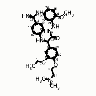 CCOc1cc(C(Nc2ccc(C(=N)N)cc2)C(=O)NNc2ccccc2OC)ccc1OCCN(C)C